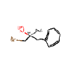 CC(=O)[C@@](O)(CBr)Cc1ccccc1